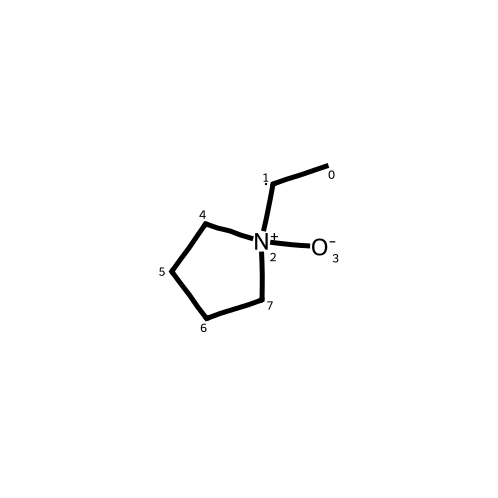 C[CH][N+]1([O-])CCCC1